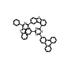 c1ccc(-c2nc(-c3ccc4c5ccccc5c5ccccc5c4c3)nc(-c3cccc4sc5ccc(-c6nc(-c7ccccc7)c7sc8ccccc8c7n6)cc5c34)n2)cc1